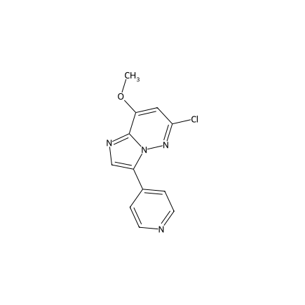 COc1cc(Cl)nn2c(-c3ccncc3)cnc12